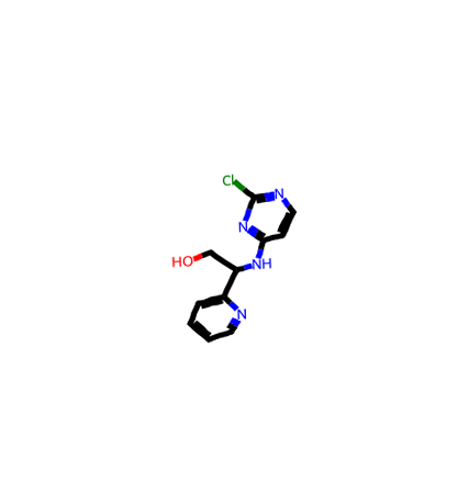 OCC(Nc1ccnc(Cl)n1)c1ccccn1